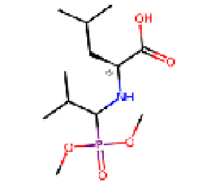 COP(=O)(OC)C(N[C@@H](CC(C)C)C(=O)O)C(C)C